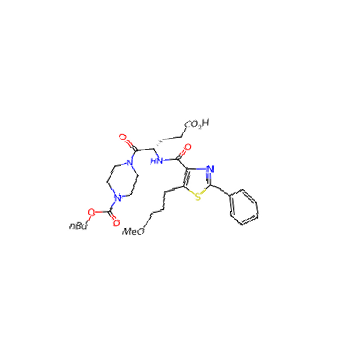 CCCCOC(=O)N1CCN(C(=O)[C@H](CCC(=O)O)NC(=O)c2nc(-c3ccccc3)sc2CCCOC)CC1